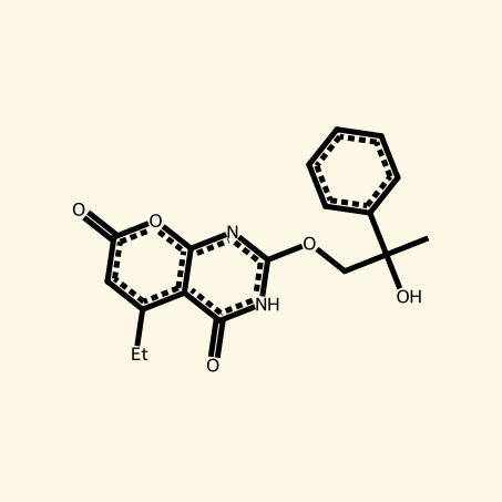 CCc1cc(=O)oc2nc(OCC(C)(O)c3ccccc3)[nH]c(=O)c12